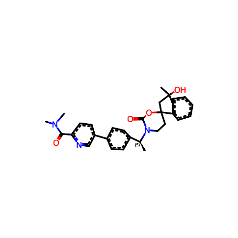 C[C@@H](c1ccc(-c2ccc(C(=O)N(C)C)nc2)cc1)N1CCC(CC(C)(C)O)(c2ccccc2)OC1=O